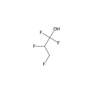 OC(F)(F)C(F)CF